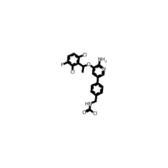 CC(Oc1cc(-c2ccc(CNC(=O)Cl)cc2)cnc1N)c1c(Cl)ccc(F)c1Cl